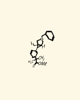 COC(=O)C(C)(C)c1cccc([C@H]2[C@@H]3CN(Cc4ccccc4)C[C@@H]32)c1